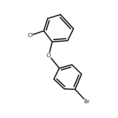 Clc1ccccc1Oc1ccc(Br)cc1